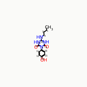 CCCCNC1NC(=O)N(c2ccc(O)cc2)C(=O)N1